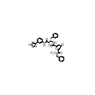 CN(Cc1ccccc1)C(=O)c1cc(=O)cc(C(=O)N[C@@H](Cc2ccccc2)[C@H](O)C(=O)Nc2cccc(-c3nn[nH]n3)c2)o1